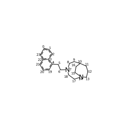 c1ccc2c(CCN3CCC4CCCN(CC4)CC3)cccc2c1